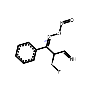 N=CC(SF)/C(=N\ON=O)c1ccccc1